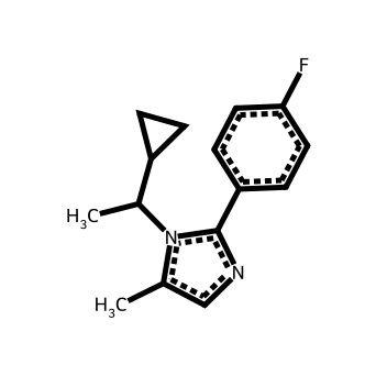 Cc1cnc(-c2ccc(F)cc2)n1C(C)C1CC1